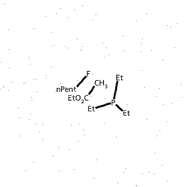 CCCCCF.CCOC(C)=O.CCP(CC)CC